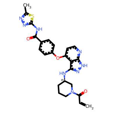 C=CC(=O)N1CCC[C@@H](Nc2n[nH]c3nccc(Oc4ccc(C(=O)Nc5nnc(C)s5)cc4)c23)C1